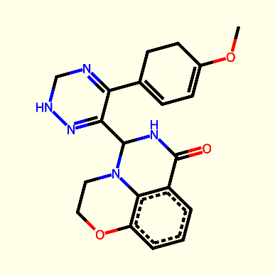 COC1=CC=C(C2=NCNN=C2C2NC(=O)c3cccc4c3N2CCO4)CC1